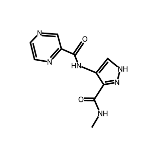 CNC(=O)c1n[nH]cc1NC(=O)c1cnccn1